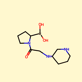 O=C(CNC1CCCNC1)N1CCCC1B(O)O